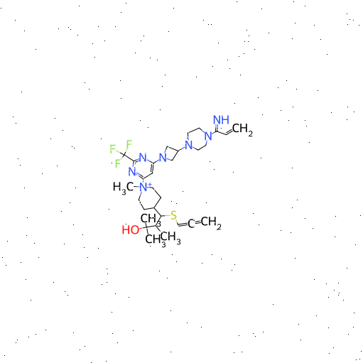 C=C=CSC(C1CC[N+](C)(c2cc(N3CC(N4CCN(C(=N)C=C)CC4)C3)nc(C(F)(F)F)n2)CC1)C(C)C(C)(C)O